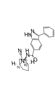 N#CN1[C@H]2CC[C@@H]1[C@H](NC(=O)c1ccc3c(-c4ccccc4)n[nH]c3c1)C2